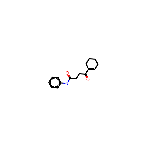 O=C(CCC(=O)C1=CCCCC1)Nc1ccccc1